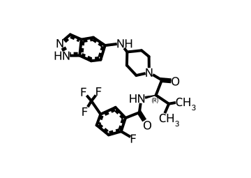 CC(C)[C@@H](NC(=O)c1cc(C(F)(F)F)ccc1F)C(=O)N1CCC(Nc2ccc3[nH]ncc3c2)CC1